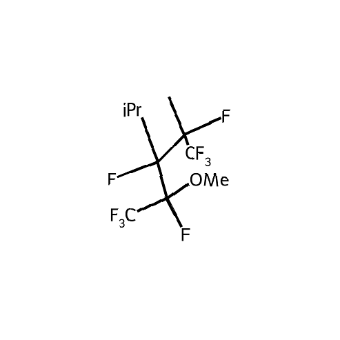 COC(F)(C(F)(F)F)C(F)(C(C)C)C(C)(F)C(F)(F)F